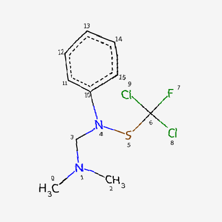 CN(C)CN(SC(F)(Cl)Cl)c1ccccc1